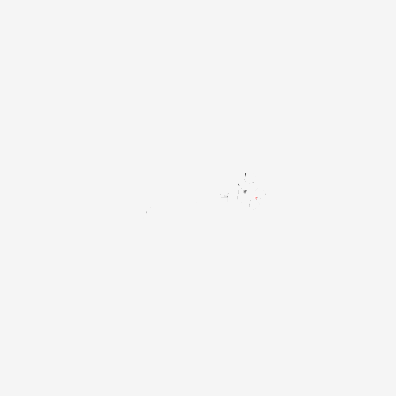 CCCCCCCCCCCCCCCCCCNC(c1ccccc1)(c1ccccc1)C(C)c1ccccc1